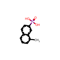 Cc1cccc2ccc(P(=O)(O)O)[c]c12